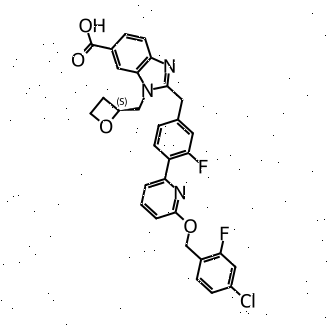 O=C(O)c1ccc2nc(Cc3ccc(-c4cccc(OCc5ccc(Cl)cc5F)n4)c(F)c3)n(C[C@@H]3CCO3)c2c1